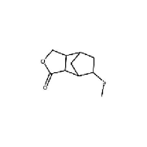 CSC1CC2CC1C1C(=O)OCC21